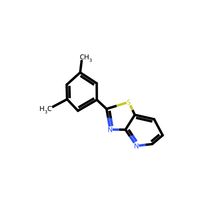 Cc1cc(C)cc(-c2nc3ncccc3s2)c1